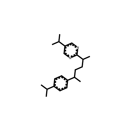 CC(C)c1ccc(C(C)CCC(C)c2ncc(C(C)C)cn2)cc1